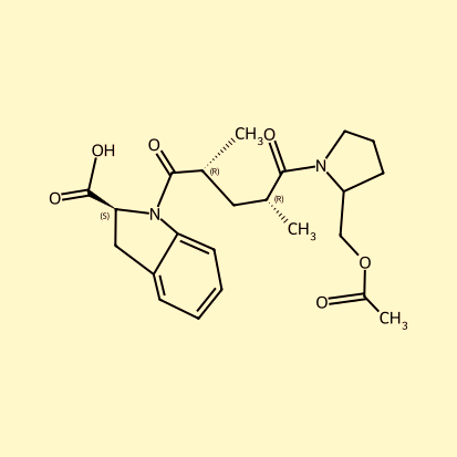 CC(=O)OCC1CCCN1C(=O)[C@H](C)C[C@@H](C)C(=O)N1c2ccccc2C[C@H]1C(=O)O